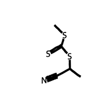 CSC(=S)SC(C)C#N